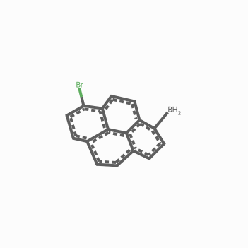 Bc1ccc2ccc3ccc(Br)c4ccc1c2c34